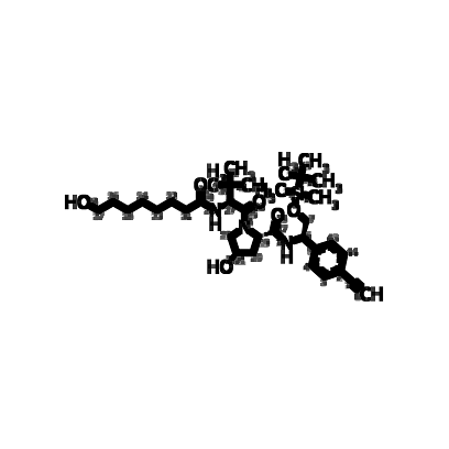 C#Cc1ccc([C@H](CO[Si](C)(C)C(C)(C)C)NC(=O)[C@@H]2C[C@@H](O)CN2C(=O)[C@@H](NC(=O)CCCCCCCO)C(C)(C)C)cc1